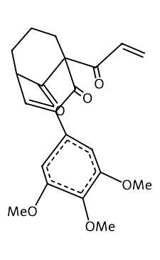 C=CC(=O)C12CCCC(C=C(c3cc(OC)c(OC)c(OC)c3)C1=O)C2=O